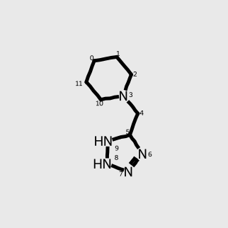 C1CCN(CC2N=NNN2)CC1